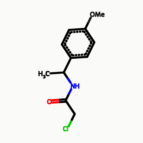 COc1ccc(C(C)NC(=O)CCl)cc1